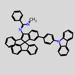 C=N/C(=N\C1=C(c2ccccc2)C2(c3cc(-c4ccc(-n5c6ccccc6c6ccccc65)cc4)ccc31)c1ccccc1-c1ccccc12)c1ccccc1